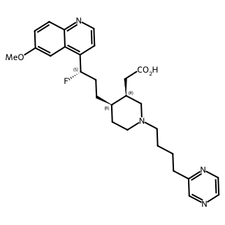 COc1ccc2nccc([C@@H](F)CC[C@@H]3CCN(CCCCc4cnccn4)C[C@@H]3CC(=O)O)c2c1